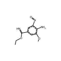 CCOC(=N)c1cc(N=O)c(N)c(OC)c1